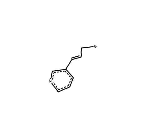 [S]CC=Cc1cccnc1